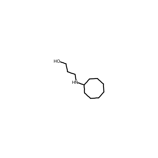 OCCCNC1CCCCCCC1